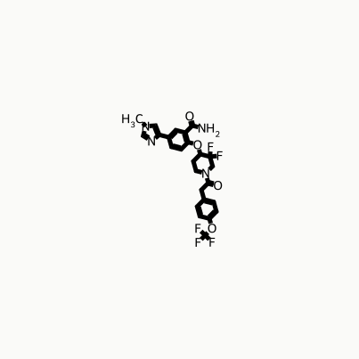 Cn1cnc(-c2ccc(OC3CCN(C(=O)Cc4ccc(OC(F)(F)F)cc4)CC3(F)F)c(C(N)=O)c2)c1